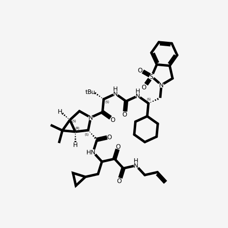 C=CCNC(=O)C(=O)C(CC1CC1)NC(=O)[C@@H]1[C@@H]2[C@H](CN1C(=O)[C@@H](NC(=O)N[C@H](CN1Cc3ccccc3S1(=O)=O)C1CCCCC1)C(C)(C)C)C2(C)C